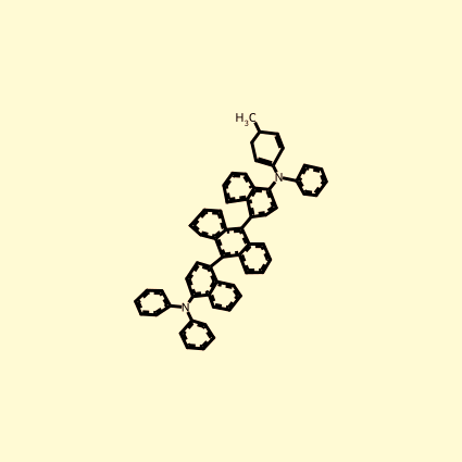 CC1C=CC(N(c2ccccc2)c2ccc(-c3c4ccccc4c(-c4ccc(N(c5ccccc5)c5ccccc5)c5ccccc45)c4ccccc34)c3ccccc23)=CC1